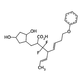 CC=CC(C=CCCOc1ccccc1)C(F)(F)C(CC1CC(O)CC1O)C(=O)O